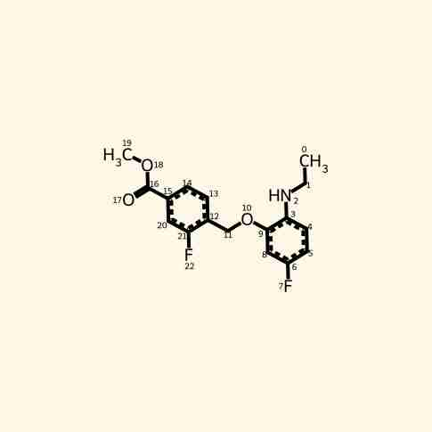 CCNc1ccc(F)cc1OCc1ccc(C(=O)OC)cc1F